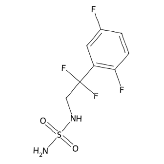 NS(=O)(=O)NCC(F)(F)c1cc(F)ccc1F